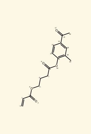 C=CC(=O)OCCCC(=O)Oc1ccc(C(C)=O)cc1C